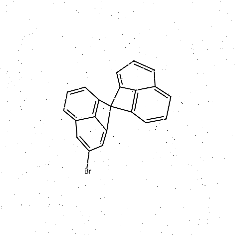 Brc1cc2c3c(cccc3c1)C21c2cccc3cccc1c23